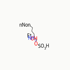 CCCCCCCCCCCCCCOS(=O)(=O)O.CCO.N